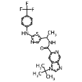 CC(NC(=O)c1cc2c(cn1)ncn2C(C)(C)C)c1cnc(Nc2ccc(C(F)(F)F)cc2)s1